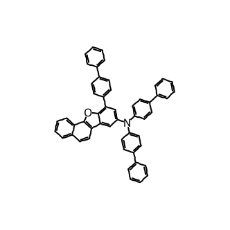 c1ccc(-c2ccc(-c3cc(N(c4ccc(-c5ccccc5)cc4)c4ccc(-c5ccccc5)cc4)cc4c3oc3c5ccccc5ccc43)cc2)cc1